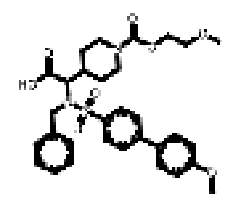 COCCOC(=O)N1CCC(C(C(=O)O)N(Cc2ccccc2)S(=O)(=O)c2ccc(-c3ccc(OC)cc3)cc2)CC1